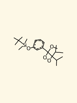 COC1(c2cccc(O[Si](C)(C)C(C)(C)C)c2)OOC1(C(C)C)C(C)C